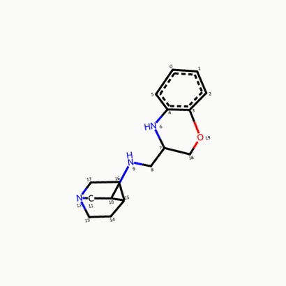 c1ccc2c(c1)NC(CNC1CN3CCC1CC3)CO2